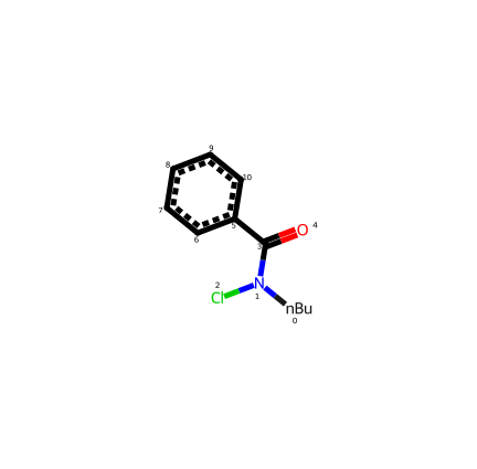 CCCCN(Cl)C(=O)c1ccccc1